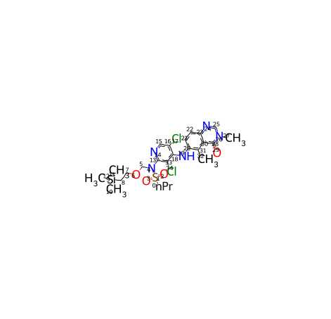 CCCS(=O)(=O)N(COCC[Si](C)(C)C)c1ncc(Cl)c(Nc2ccc3ncn(C)c(=O)c3c2C)c1Cl